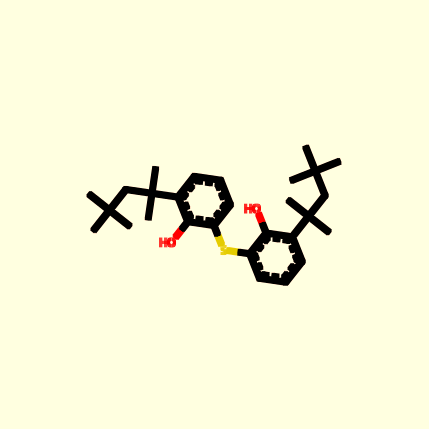 CC(C)(C)CC(C)(C)c1cccc(Sc2cccc(C(C)(C)CC(C)(C)C)c2O)c1O